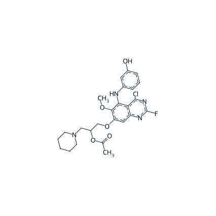 COc1c(OCC(CN2CCCCC2)OC(C)=O)cc2nc(F)nc(Cl)c2c1Nc1cccc(O)c1